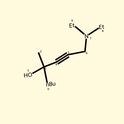 [CH2]CCCC(C)(O)C#CCN(CC)CC